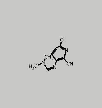 CN(C)/C=N\c1ccc(Cl)nc1C#N